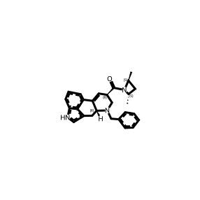 C[C@H]1C[C@H](C)N1C(=O)[C@@H]1C=C2c3cccc4[nH]cc(c34)C[C@H]2N(Cc2ccccc2)C1